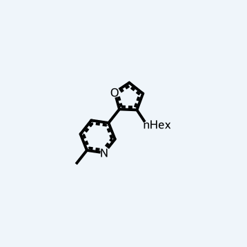 CCCCCCc1ccoc1-c1ccc(C)nc1